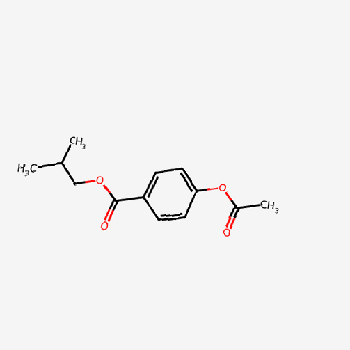 CC(=O)Oc1ccc(C(=O)OCC(C)C)cc1